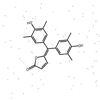 Cc1cc(C(=C2C=CC(=O)O2)c2cc(C)c(O)c(C)c2)cc(C)c1O